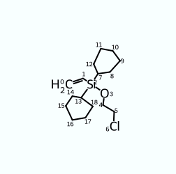 C=C[Si](OCCCl)(C1CCCCC1)C1CCCCC1